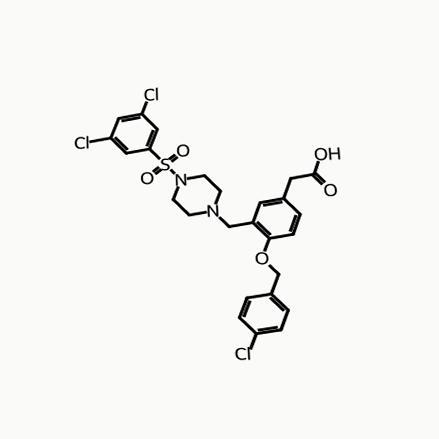 O=C(O)Cc1ccc(OCc2ccc(Cl)cc2)c(CN2CCN(S(=O)(=O)c3cc(Cl)cc(Cl)c3)CC2)c1